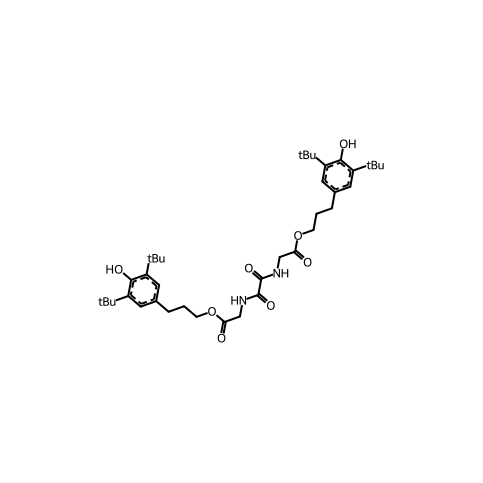 CC(C)(C)c1cc(CCCOC(=O)CNC(=O)C(=O)NCC(=O)OCCCc2cc(C(C)(C)C)c(O)c(C(C)(C)C)c2)cc(C(C)(C)C)c1O